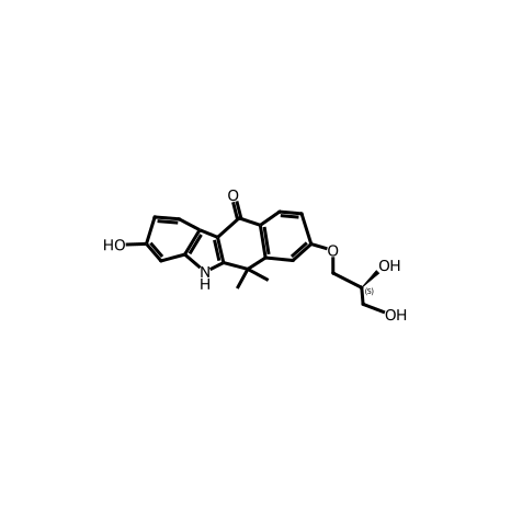 CC1(C)c2cc(OC[C@@H](O)CO)ccc2C(=O)c2c1[nH]c1cc(O)ccc21